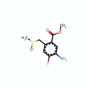 COC(=O)c1cc(N)c(I)cc1C[S+](C)[O-]